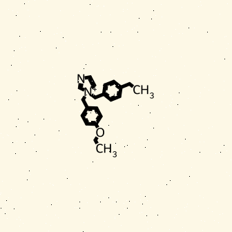 CCOc1ccc(C[N+]2(Cc3ccc(CC)cc3)C=CN=C2)cc1